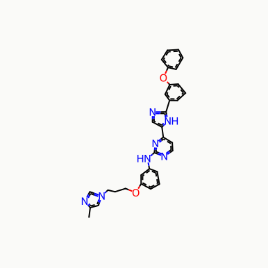 Cc1cn(CCCOc2cccc(Nc3nccc(-c4cnc(-c5cccc(Oc6ccccc6)c5)[nH]4)n3)c2)cn1